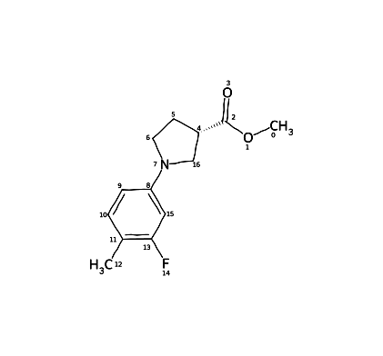 COC(=O)[C@H]1CCN(c2ccc(C)c(F)c2)C1